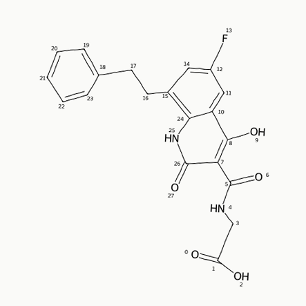 O=C(O)CNC(=O)c1c(O)c2cc(F)cc(CCc3ccccc3)c2[nH]c1=O